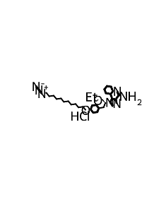 CCOC[C@H](Cc1ccc(OCCCCCCCCCCCN=[N+]=[N-])cc1)n1cnc2c(N)nc3ccccc3c21.Cl